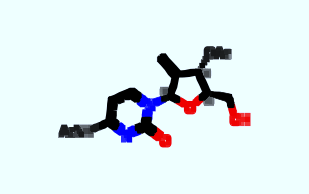 C=C1[C@H](n2ccc(NC(C)=O)nc2=O)O[C@H](CO)[C@H]1OC(C)=O